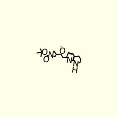 COC(Cc1ccc2c(n1)NCCC2)C1CN(C(=O)OC(C)(C)C)C1